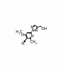 COc1cc(-n2ncc(CO)n2)nc(C)c1C#N